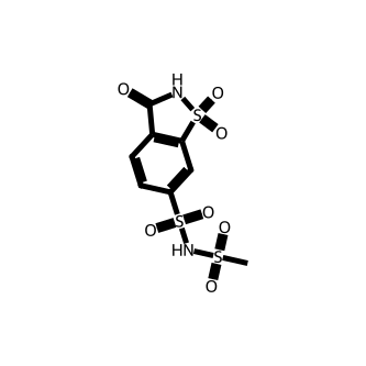 CS(=O)(=O)NS(=O)(=O)c1ccc2c(c1)S(=O)(=O)NC2=O